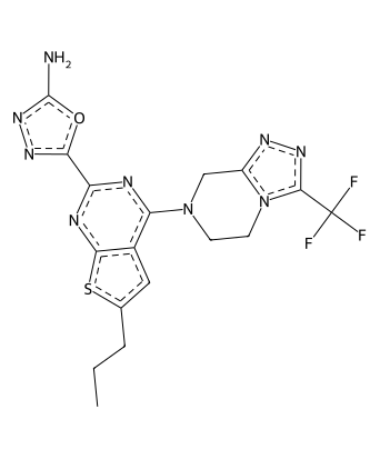 CCCc1cc2c(N3CCn4c(nnc4C(F)(F)F)C3)nc(-c3nnc(N)o3)nc2s1